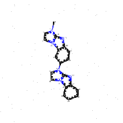 Cn1ccn2c3cc(-n4ccn5c6ccccc6nc45)ccc3nc12